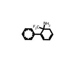 NC1(C(F)(F)F)CC=CC=C1c1ccccc1